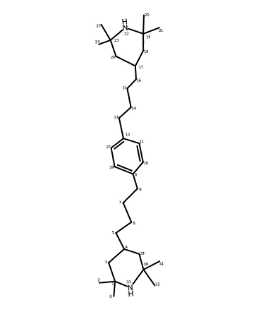 CC1(C)CC(CCCCc2ccc(CCCCC3CC(C)(C)NC(C)(C)C3)cc2)CC(C)(C)N1